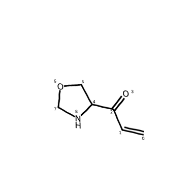 C=CC(=O)C1COCN1